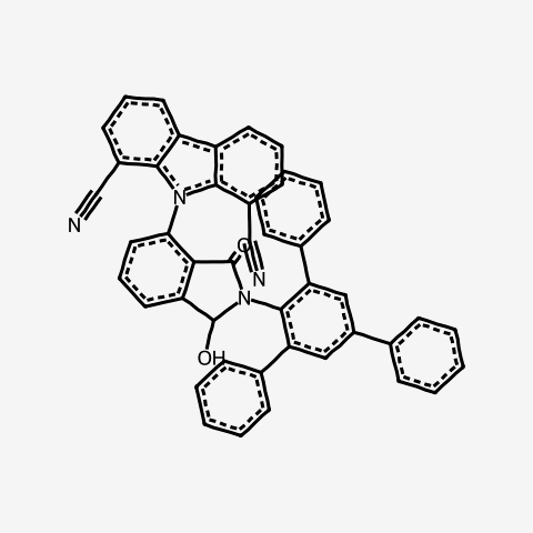 N#Cc1cccc2c3cccc(C#N)c3n(-c3cccc4c3C(=O)N(c3c(-c5ccccc5)cc(-c5ccccc5)cc3-c3ccccc3)C4O)c12